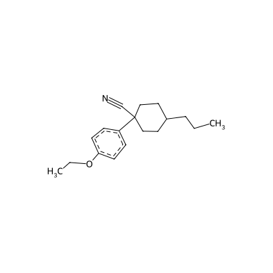 CCCC1CCC(C#N)(c2ccc(OCC)cc2)CC1